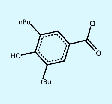 CCCCc1cc(C(=O)Cl)cc(C(C)(C)C)c1O